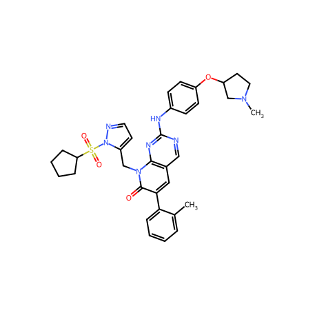 Cc1ccccc1-c1cc2cnc(Nc3ccc(OC4CCN(C)C4)cc3)nc2n(Cc2ccnn2S(=O)(=O)C2CCCC2)c1=O